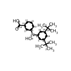 CC(C)(C)c1cc(N(O)c2cccc(C(=O)O)c2)cc(C(C)(C)C)c1